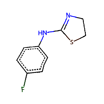 Fc1ccc(NC2=NCCS2)cc1